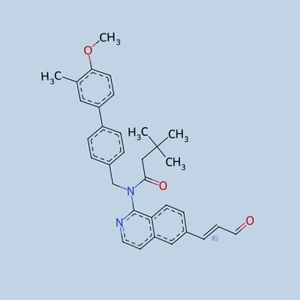 COc1ccc(-c2ccc(CN(C(=O)CC(C)(C)C)c3nccc4cc(/C=C/C=O)ccc34)cc2)cc1C